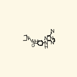 CCN(CC)CCNC(=O)c1ccc(Nc2ncc(C#N)n3ccnc23)cc1